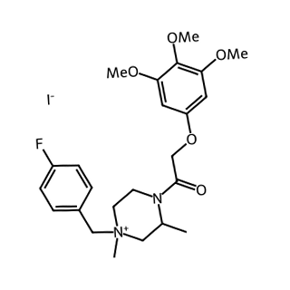 COc1cc(OCC(=O)N2CC[N+](C)(Cc3ccc(F)cc3)CC2C)cc(OC)c1OC.[I-]